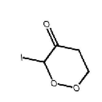 O=C1CCOOC1I